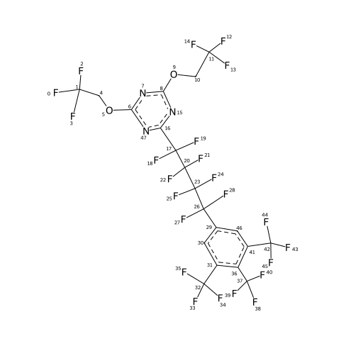 FC(F)(F)COc1nc(OCC(F)(F)F)nc(C(F)(F)C(F)(F)C(F)(F)C(F)(F)c2cc(C(F)(F)F)c(C(F)(F)F)c(C(F)(F)F)c2)n1